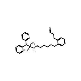 CC(C)([SiH2]OCCCCCc1ccccc1CCC=O)C(c1ccccc1)c1ccccc1